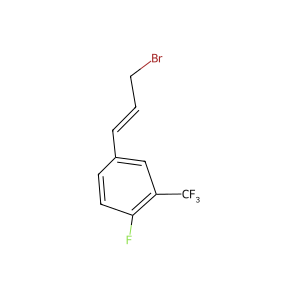 Fc1ccc(C=CCBr)cc1C(F)(F)F